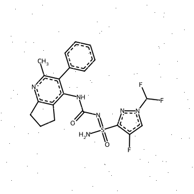 Cc1nc2c(c(NC(=O)N=S(N)(=O)c3nn(C(F)F)cc3F)c1-c1ccccc1)CCC2